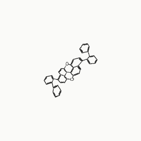 c1ccc(-c2ccccc2-c2ccc3oc4ccc5c(-c6ccccc6-c6ccccc6)ccc6oc7ccc2c3c7-c4c65)cc1